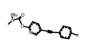 CN(C(=O)Oc1ccc(C#Cc2ccc(F)cc2)cn1)C(C)(C)C